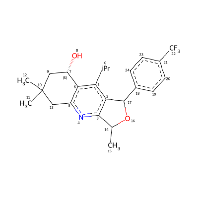 CC(C)c1c2c(nc3c1[C@@H](O)CC(C)(C)C3)C(C)OC2c1ccc(C(F)(F)F)cc1